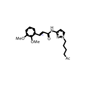 COc1cccc(/C=C/C(=O)Nc2ccn(CCCCC(C)=O)n2)c1OC